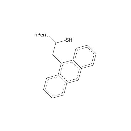 CCCCCC(S)Cc1c2ccccc2cc2ccccc12